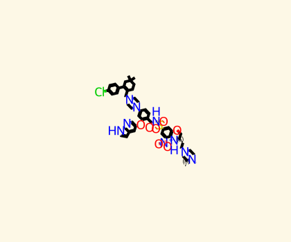 C[C@@H]1CN(CC[C@H]2COc3cc(S(=O)(=O)NC(=O)c4ccc(N5CCN(CC6=C(c7ccc(Cl)cc7)CC(C)(C)CC6)CC5)cc4Oc4cnc5[nH]ccc5c4)cc([N+](=O)[O-])c3N2)CCN1C